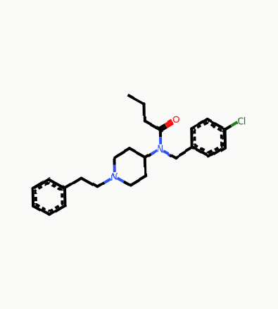 CCCC(=O)N(Cc1ccc(Cl)cc1)C1CCN(CCc2ccccc2)CC1